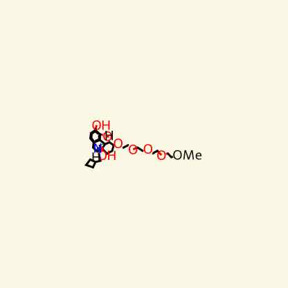 COCCOCCOCCOCCOC1CC[C@@]2(O)[C@H]3Cc4ccc(O)c5c4[C@@]2(CCN3CC2CCC2)[C@H]1O5